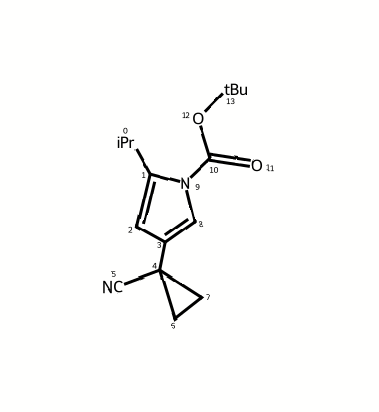 CC(C)c1cc(C2(C#N)CC2)cn1C(=O)OC(C)(C)C